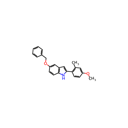 COc1ccc(-c2cc3cc(OCc4ccccc4)ccc3[nH]2)c(C)c1